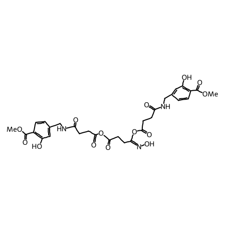 COC(=O)c1ccc(CNC(=O)CCC(=O)OC(=O)CC/C(=N/O)OC(=O)CCC(=O)NCc2ccc(C(=O)OC)c(O)c2)cc1O